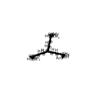 CC(=O)OCC(C)O[C@@H](OCCCCC(=O)NCCCNC(=O)CCOCC(C)(COCCC(=O)NCCCNC(=O)CCCCO[C@@H]1OC(COC(C)=O)[C@H](O)C(O)[C@@H]1C)COCCC(=O)NCCCNC(=O)CCCCO[C@@H]1OC(COC(C)=O)[C@H](O)C(O)[C@@H]1N)[C@@H](C)C(O)O